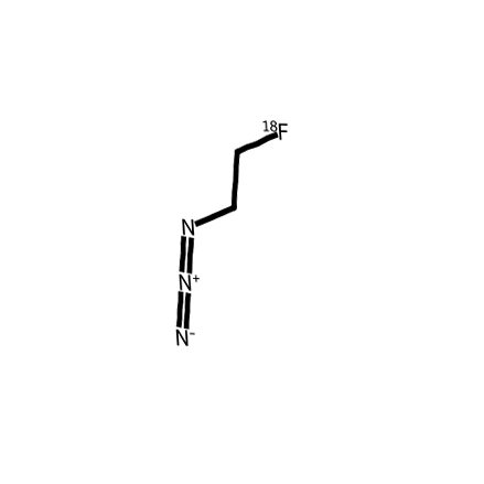 [N-]=[N+]=NCC[18F]